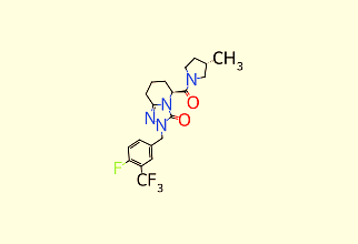 C[C@H]1CCN(C(=O)[C@@H]2CCCc3nn(Cc4ccc(F)c(C(F)(F)F)c4)c(=O)n32)C1